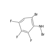 Fc1cc(Br)c(NBr)c(F)c1F